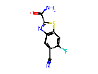 N#Cc1cc2nc(C(N)=O)sc2cc1F